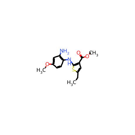 CCc1cc(C(=O)OC)c(Nc2ccc(OC)cc2N)s1